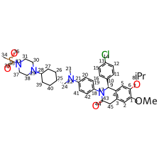 COc1cc2c(cc1OC(C)C)[C@H](c1ccc(Cl)cc1)N(c1ccc(N(C)C[C@H]3CC[C@H](N4CCN(S(C)(=O)=O)CC4)CC3)cc1)C(=O)C2